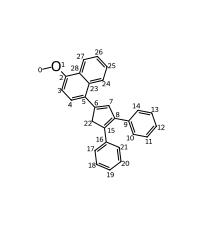 COc1ccc(C2=CC(c3ccccc3)=C(c3ccccc3)C2)c2ccccc12